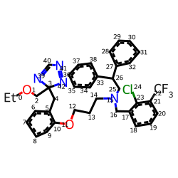 CCOCC1(Cc2ccccc2OCCCN(Cc2cccc(C(F)(F)F)c2Cl)CC(c2ccccc2)c2ccccc2)N=CN=N1